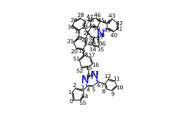 c1ccc(-c2cc(-c3ccccc3)nc(-c3ccc(-c4ccc5c(c4)C4(c6ccccc6-5)c5ccccc5-n5c6ccccc6c6cccc4c65)cc3)n2)cc1